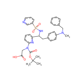 CN(Cc1ccccc1)c1ccc(CC(NS(=O)(=O)c2cccnc2)c2cccc(N(CC(=O)O)C(=O)OC(C)(C)C)n2)cc1